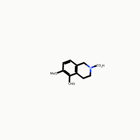 COc1ccc2c(c1C=O)CCN(C(=O)O)C2